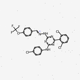 FC(F)(F)Oc1ccc(/C=N/Nc2nc(Nc3ccc(Cl)cc3)nc(-c3c(Cl)cccc3Cl)n2)cc1